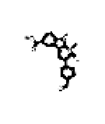 COC(=O)c1ccc2c(c1)c1cc(-c3ccc(C=O)cc3)c(=O)n(C)c1n2C